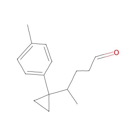 Cc1ccc(C2(C(C)CCC=O)CC2)cc1